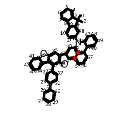 CC1(C)c2ccccc2-c2ccc(N(c3ccc4oc5c(-c6ccc(-c7ccccc7)cc6)c6c(cc5c4c3)oc3ccccc36)c3ccccc3-c3ccccc3)cc21